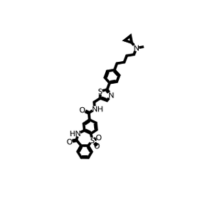 CN(CCCCc1ccc(-c2ncc(CNC(=O)c3ccc4c(c3)NC(=O)c3ccccc3S4(=O)=O)s2)cc1)C1CC1